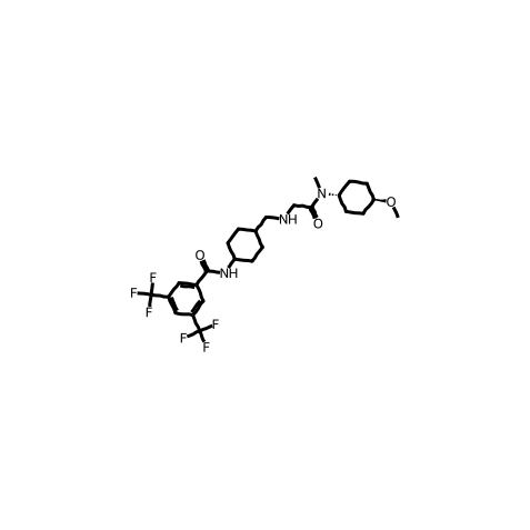 CO[C@H]1CC[C@H](N(C)C(=O)CNCC2CCC(NC(=O)c3cc(C(F)(F)F)cc(C(F)(F)F)c3)CC2)CC1